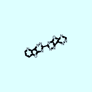 c1cnc2c(c1)oc1nc(-c3nnc4c(n3)oc3ncnnc34)nnc12